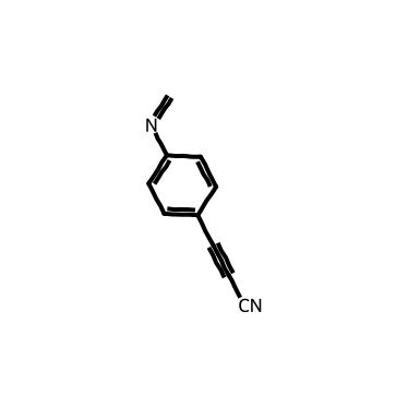 C=Nc1ccc(C#CC#N)cc1